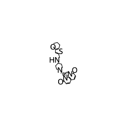 O=c1ccc2ccc(=O)n3c2n1C[C@H]3CN1CCC(NCc2cc3c(s2)CCCO3)CC1